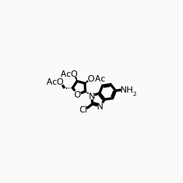 CC(=O)OC[C@H]1O[C@@H](n2c(Cl)nc3cc(N)ccc32)[C@H](OC(C)=O)[C@@H]1OC(C)=O